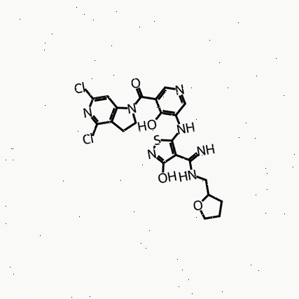 N=C(NCC1CCCO1)c1c(O)nsc1Nc1cncc(C(=O)N2CCc3c2cc(Cl)nc3Cl)c1O